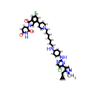 Cn1ncc(-c2nc(N[C@H]3CC[C@H](NCCCCCCCN4CCC(c5cc(F)cc6c5CN(C5CCC(=O)NC5=O)C6=O)CC4)CC3)ncc2Cl)c1CC1CC1